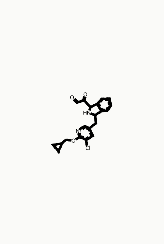 O=CC(=O)C1NC(Cc2cnc(OCC3CC3)c(Cl)c2)c2ccccc21